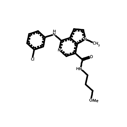 COCCCNC(=O)c1cnc(Nc2cccc(Cl)c2)c2ccn(C)c12